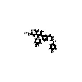 Cc1nc(C)c(-c2ccc3c(c2)CC[C@@H](Cc2ccc(F)cc2)O3)c(N2CCC(C)(C)CC2)c1CC(=O)OC(C)C